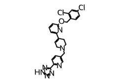 Clc1ccc(COc2cccc(C3=CCN(Cc4ccc(-c5nn[nH]n5)nc4)CC3)n2)c(Cl)c1